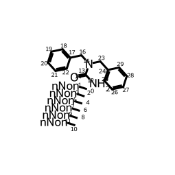 CCCCCCCCCC.CCCCCCCCCC.CCCCCCCCCC.CCCCCCCCCC.CCCCCCCCCC.CCCCCCCCCC.NC(=O)N(Cc1ccccc1)Cc1ccccc1